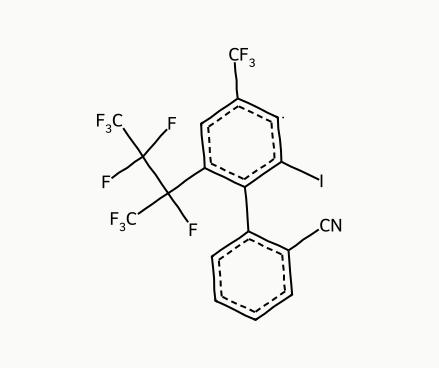 N#Cc1ccccc1-c1c(I)[c]c(C(F)(F)F)cc1C(F)(C(F)(F)F)C(F)(F)C(F)(F)F